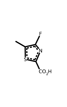 Cc1sc(C(=O)O)nc1F